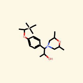 CC1CN(C(c2ccc(OC(C)[Si](C)(C)C)cc2)C(C)O)CC(C)O1